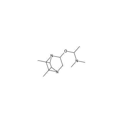 CC(OC1CN2CCN1C(C)C2C)N(C)C